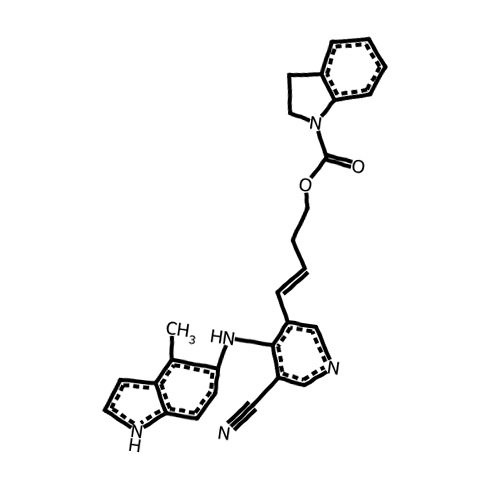 Cc1c(Nc2c(C#N)cncc2C=CCCOC(=O)N2CCc3ccccc32)ccc2[nH]ccc12